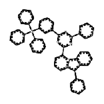 c1ccc(-c2nc(-c3cccc(S(c4ccccc4)(c4ccccc4)c4ccccc4)c3)nc(-c3cccc4c(-c5ccccc5)c5ccccc5n34)n2)cc1